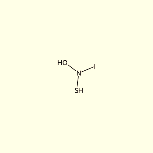 ON(S)I